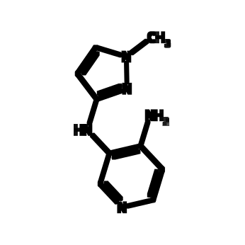 Cn1ccc(Nc2cnccc2N)n1